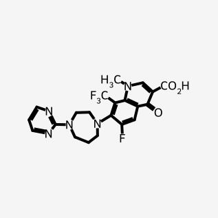 Cn1cc(C(=O)O)c(=O)c2cc(F)c(N3CCCN(c4ncccn4)CC3)c(C(F)(F)F)c21